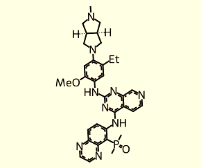 CCc1cc(Nc2nc(Nc3ccc4nccnc4c3P(C)(C)=O)c3ccncc3n2)c(OC)cc1N1C[C@H]2CN(C)C[C@H]2C1